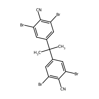 CC(C)(c1cc(Br)c(C#N)c(Br)c1)c1cc(Br)c(C#N)c(Br)c1